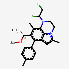 Cc1ccc(-c2c([C@H](OC(C)(C)C)C(=O)O)c(C)c3c4c2cc(C)n4CCN3C(F)CF)cc1